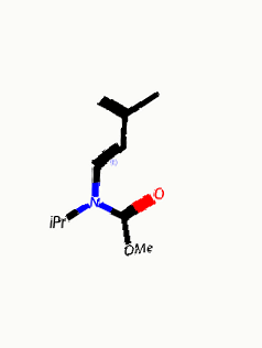 C=C(C)/C=C/N(C(=O)OC)C(C)C